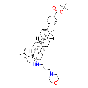 C=C(C)[C@@H]1CC[C@]2(NCCCN3CCOCC3)CC[C@]3(C)[C@H](CC[C@@H]4[C@@]5(C)CC=C(c6ccc(C(=O)OC(C)(C)C)cc6)C(C)(C)[C@@H]5CC[C@]43C)[C@@H]12